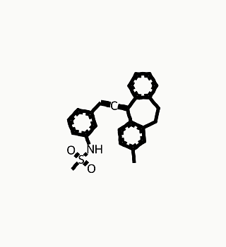 Cc1ccc2c(c1)CCc1ccccc1C2=C=Cc1cccc(NS(C)(=O)=O)c1